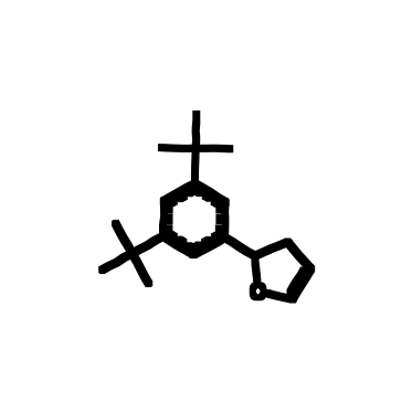 CC(C)(C)c1cc(C2CC=CO2)cc(C(C)(C)C)c1